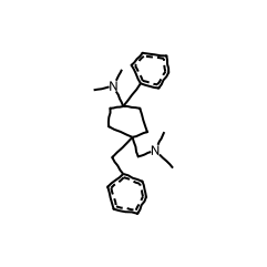 CN(C)CC1(Cc2ccccc2)CCC(c2ccccc2)(N(C)C)CC1